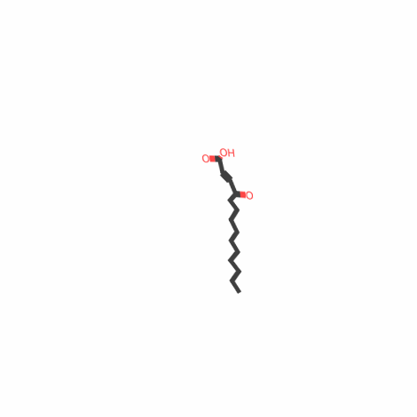 CCCCCCCCCCC(=O)C#CC(=O)O